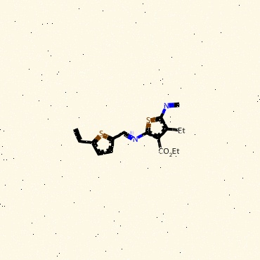 C=Cc1ccc(/C=N/c2sc(N=C)c(CC)c2C(=O)OCC)s1